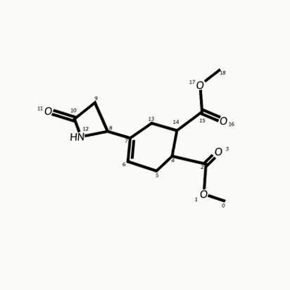 COC(=O)C1CC=C(C2CC(=O)N2)CC1C(=O)OC